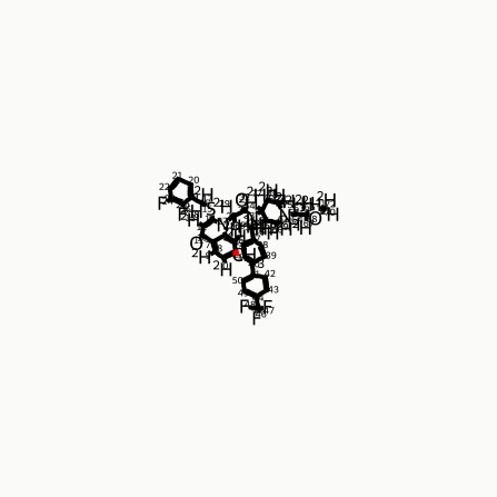 [2H]c1c(C)c([2H])c2c(c1[2H])c(=O)c([2H])c(SC([2H])([2H])c1cccc(F)c1F)n2C([2H])([2H])C(=O)N(C([2H])([2H])c1ccc(-c2ccc(C(F)(F)F)cc2)cc1)C1([2H])C([2H])([2H])C([2H])([2H])N(C([2H])([2H])C([2H])([2H])OC([2H])([2H])[2H])C([2H])([2H])C1([2H])[2H]